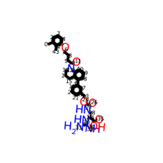 Cc1cccc(OCCCC(=O)N2CCCc3c(-c4cccc(COC(=O)NC[C@H](NC(=N)N)C(=O)O)c4)cccc32)c1C